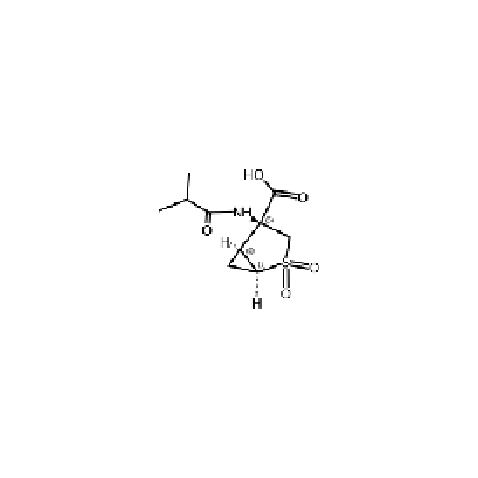 CC(C)C(=O)N[C@@]1(C(=O)O)CS(=O)(=O)[C@H]2C[C@H]21